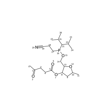 CC(=O)CCC(=O)OC1CC(C)OC1COP(CCC#N)C(C(C)C)C(C)C